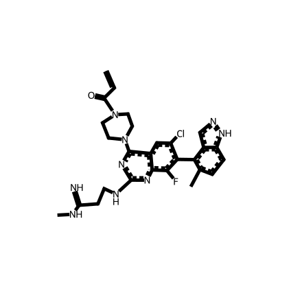 C=CC(=O)N1CCN(c2nc(NCCC(=N)NC)nc3c(F)c(-c4c(C)ccc5[nH]ncc45)c(Cl)cc23)CC1